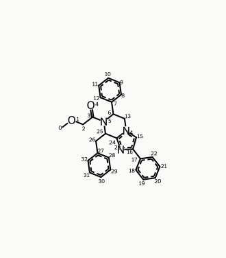 COCC(=O)N1C(c2ccccc2)Cn2cc(-c3ccccc3)nc2C1Cc1ccccc1